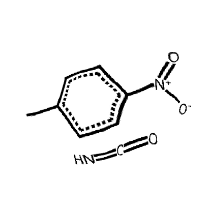 Cc1ccc([N+](=O)[O-])cc1.N=C=O